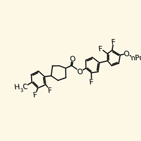 CCCOc1ccc(-c2ccc(OC(=O)C3CCC(c4ccc(C)c(F)c4F)CC3)c(F)c2)c(F)c1F